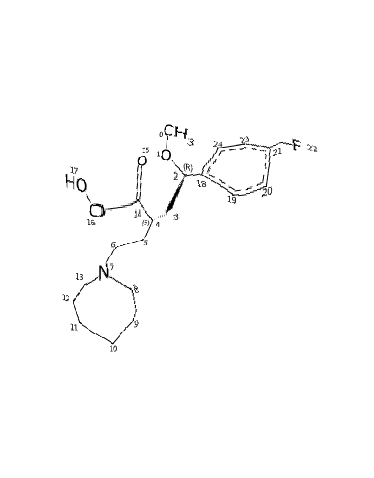 CO[C@H](C[C@H](CCN1CCCCCC1)C(=O)OO)c1ccc(F)cc1